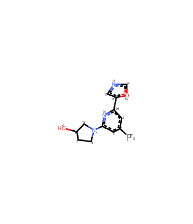 OC1CCN(c2cc(C(F)(F)F)cc(-c3cnco3)n2)C1